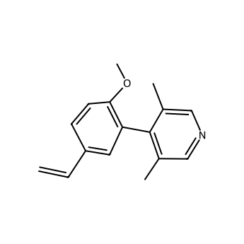 C=Cc1ccc(OC)c(-c2c(C)cncc2C)c1